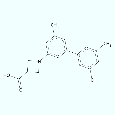 Cc1cc(C)cc(-c2cc(C)cc(N3CC(C(=O)O)C3)c2)c1